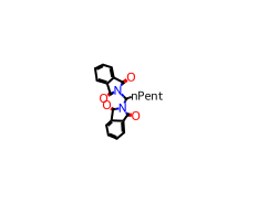 CCCCCC(N1C(=O)c2ccccc2C1=O)N1C(=O)c2ccccc2C1=O